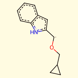 [CH](OCC1CC1)c1cc2ccccc2[nH]1